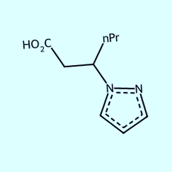 CCCC(CC(=O)O)n1cccn1